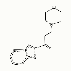 C=C(CCN1CCOCC1)c1cc2ccccc2s1